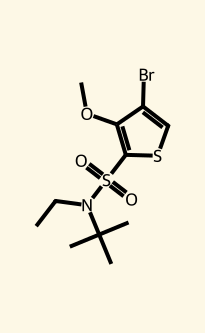 CCN(C(C)(C)C)S(=O)(=O)c1scc(Br)c1OC